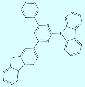 c1ccc(-c2cc(-c3ccc4c(c3)sc3ccccc34)nc(-n3c4ccccc4c4ccccc43)n2)cc1